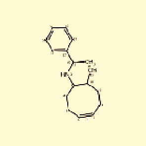 C[C@@H](NC1CC/C=C\CCC1O)c1ccccc1